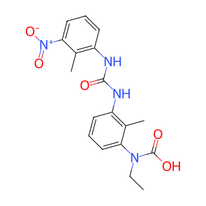 CCN(C(=O)O)c1cccc(NC(=O)Nc2cccc([N+](=O)[O-])c2C)c1C